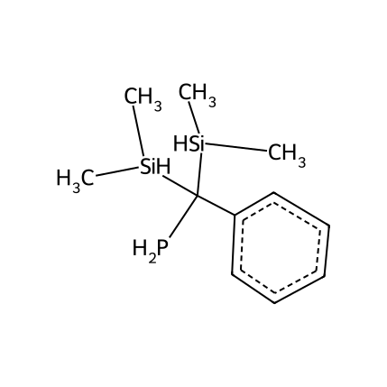 C[SiH](C)C(P)(c1ccccc1)[SiH](C)C